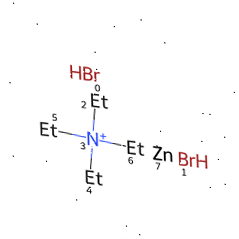 Br.Br.CC[N+](CC)(CC)CC.[Zn]